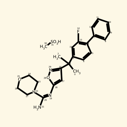 CC(C)(c1ccc(-c2ccccc2)c(F)c1)c1cc(/N=C(/N)N2CCOCC2)on1.CS(=O)(=O)O